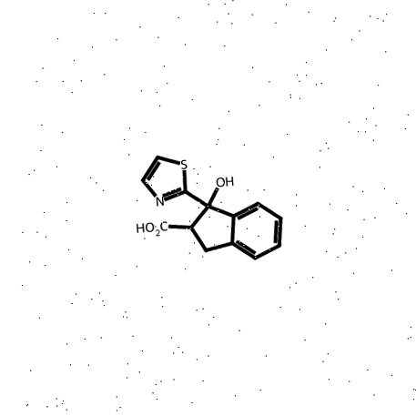 O=C(O)C1Cc2ccccc2C1(O)c1nccs1